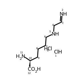 Cl.Cl.N=CCNCCCC[C@H](N)C(=O)O